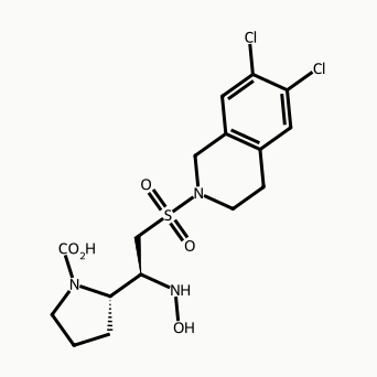 O=C(O)N1CCC[C@H]1[C@@H](CS(=O)(=O)N1CCc2cc(Cl)c(Cl)cc2C1)NO